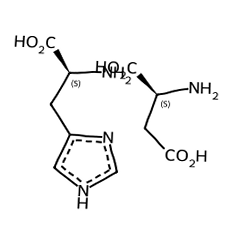 N[C@@H](CC(=O)O)C(=O)O.N[C@@H](Cc1c[nH]cn1)C(=O)O